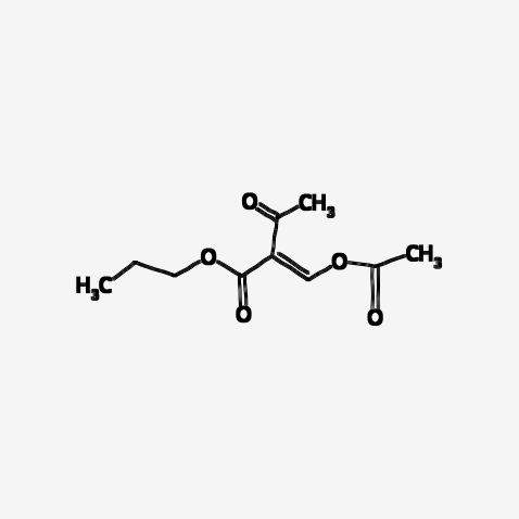 CCCOC(=O)C(=COC(C)=O)C(C)=O